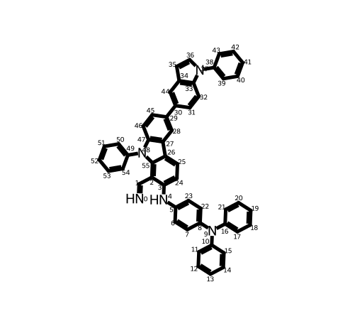 N=Cc1c(Nc2ccc(N(c3ccccc3)c3ccccc3)cc2)ccc2c3cc(-c4ccc5c(ccn5-c5ccccc5)c4)ccc3n(-c3ccccc3)c12